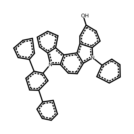 Oc1ccc2c(c1)c1c3c4ccccc4n(-c4cc(-c5ccccc5)ccc4-c4ccccc4)c3ccc1n2-c1ccccc1